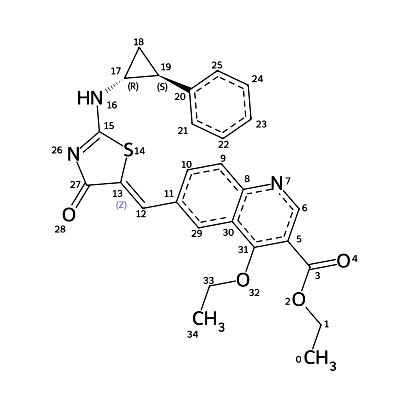 CCOC(=O)c1cnc2ccc(/C=C3\SC(N[C@@H]4C[C@H]4c4ccccc4)=NC3=O)cc2c1OCC